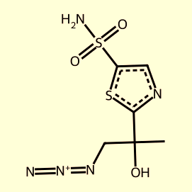 CC(O)(CN=[N+]=[N-])c1ncc(S(N)(=O)=O)s1